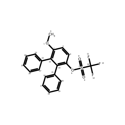 COc1ccc(OS(=O)(=O)C(F)(F)F)c(-c2ccccc2)c1-c1ccccc1